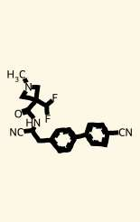 CN1CC(C(=O)NC(C#N)Cc2ccc(-c3ccc(C#N)cc3)cc2)(C(F)F)C1